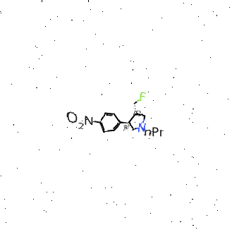 CCCN1C[C@@H](CF)[C@H](c2ccc([N+](=O)[O-])cc2)C1